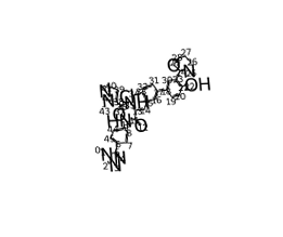 Cn1cnnc1-c1ccc(NC(=O)C(Cc2cc(-c3ccc(O)c(C4=NCCCO4)c3)ccc2Cl)NC(=O)c2ccnn2C)cc1